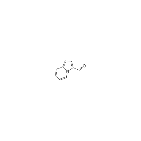 O=Cc1ccc2ccccn12